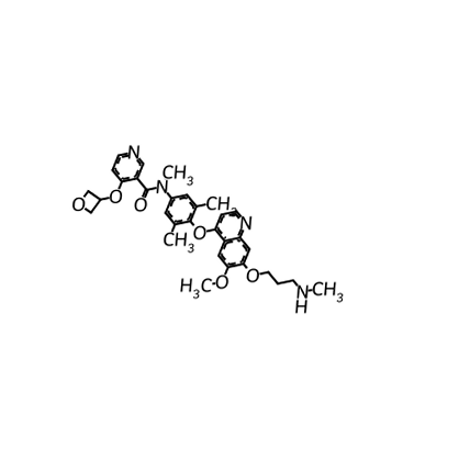 CNCCCOc1cc2nccc(Oc3c(C)cc(N(C)C(=O)c4cnccc4OC4COC4)cc3C)c2cc1OC